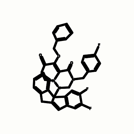 O=C1c2c(OCc3ccccc3)c(=O)ccn2N(C23C(=Cc4cc(F)c(F)cc42)Cc2ccccc23)CN1Cc1ccc(F)cc1